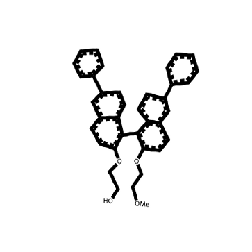 COCCOc1ccc2cc(-c3ccccc3)ccc2c1-c1c(OCCO)ccc2cc(-c3ccccc3)ccc12